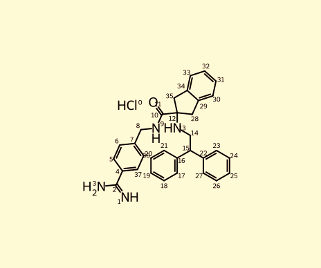 Cl.N=C(N)c1ccc(CNC(=O)C2(NCC(c3ccccc3)c3ccccc3)Cc3ccccc3C2)cc1